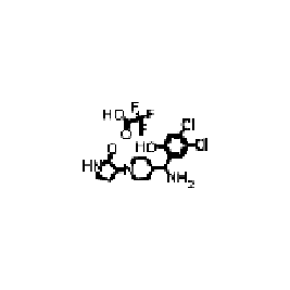 NC(c1cc(Cl)c(Cl)cc1O)C1CCN(C2CCNC2=O)CC1.O=C(O)C(F)(F)F